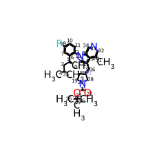 C=C(CC(C)C)c1cc(F)ccc1-n1cc(/C=C2\CCN(C(=O)OC(C)(C)C)C2)c2c(C)cncc21